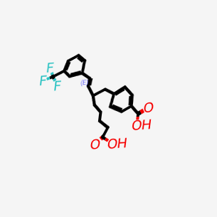 O=C(O)CCCCC(/C=C/c1cccc(C(F)(F)F)c1)Cc1ccc(C(=O)O)cc1